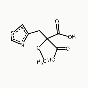 COC(Cc1cscn1)(C(=O)O)C(=O)O